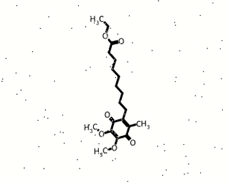 CCOC(=O)CCCCCCCCC1=C(C)C(=O)C(OC)=C(OC)C1=O